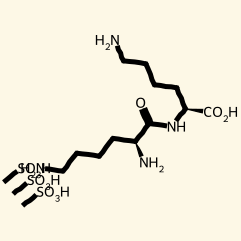 CS(=O)(=O)O.CS(=O)(=O)O.CS(=O)(=O)O.NCCCC[C@H](NC(=O)[C@@H](N)CCCCN)C(=O)O